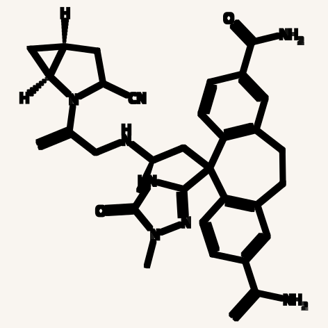 C=C(N)c1ccc2c(c1)CCc1cc(C(N)=O)ccc1C2(C[C@@H](C)NCC(=C)N1C(C#N)C[C@@H]2C[C@@H]21)c1nn(C)c(=O)[nH]1